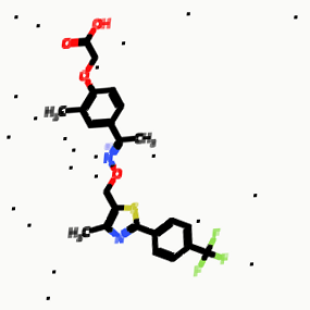 C/C(=N\OCc1sc(-c2ccc(C(F)(F)F)cc2)nc1C)c1ccc(OCC(=O)O)c(C)c1